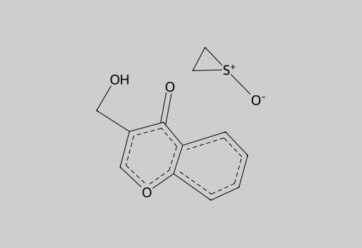 O=c1c(CO)coc2ccccc12.[O-][S+]1CC1